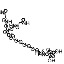 O=C(CCCc1c[nH]c2ccccc12)NCCOCCN(CCOCCNC(=O)CCCc1c[nH]c2ccccc12)C(=O)c1ccc(OC(=O)CCOCCOCCOCCOCCOCCOCCNC(=S)Nc2ccc3c(c2)C(=O)OC32c3ccc(O)cc3Oc3cc(O)ccc32)c(F)c1